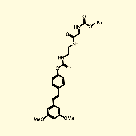 COc1cc(C=Cc2ccc(OC(=O)NCCNC(=O)CNC(=O)OC(C)(C)C)cc2)cc(OC)c1